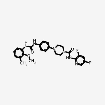 COc1c(C)cccc1NC(=O)Nc1ccc(N2CCN(C(=O)Nc3ncc(F)cc3F)CC2)cc1